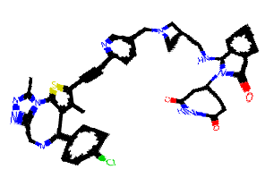 Cc1c(C#Cc2ccc(CN3CC(CNC4c5ccccc5C(=O)N4C4CC(=O)NC(=O)C4)C3)cn2)sc2c1C(c1ccc(Cl)cc1)=NCc1nnc(C)n1-2